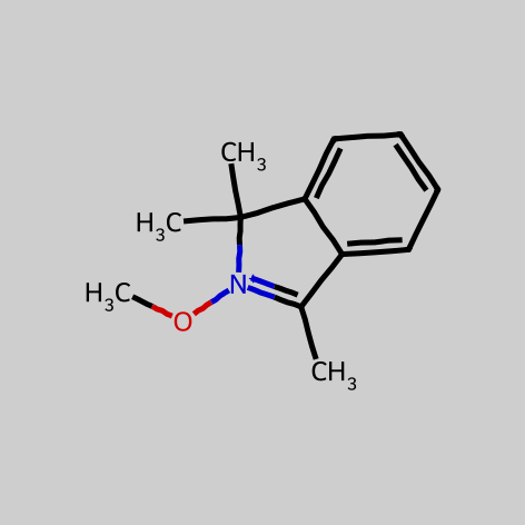 CO[N+]1=C(C)c2ccccc2C1(C)C